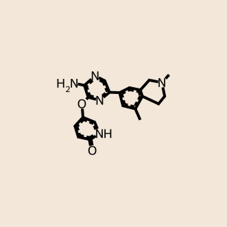 Cc1cc(-c2cnc(N)c(Oc3ccc(=O)[nH]c3)n2)cc2c1CCN(C)C2